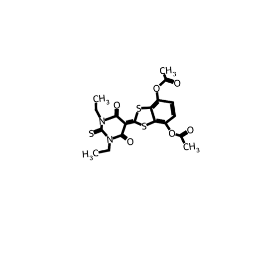 CCN1C(=O)C(=C2Sc3c(OC(C)=O)ccc(OC(C)=O)c3S2)C(=O)N(CC)C1=S